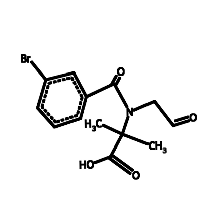 CC(C)(C(=O)O)N(CC=O)C(=O)c1cccc(Br)c1